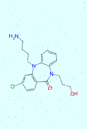 NCCCCN1c2cc(Cl)ccc2C(=O)N(CCCO)c2ccccc21